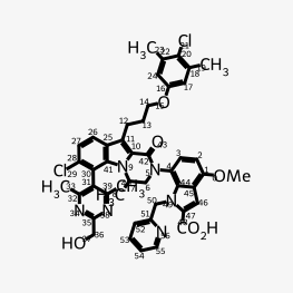 COc1ccc(N2CC(C)n3c(c(CCCOc4cc(C)c(Cl)c(C)c4)c4ccc(Cl)c(-c5c(C)nc(CO)nc5C)c43)C2=O)c2c1cc(C(=O)O)n2Cc1ccccn1